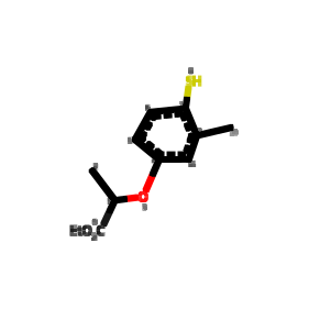 CCOC(=O)C(C)Oc1ccc(S)c(C)c1